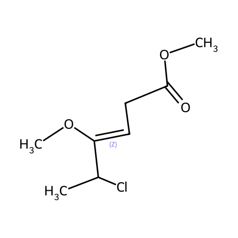 COC(=O)C/C=C(\OC)C(C)Cl